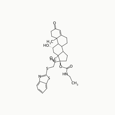 CCNC(=O)O[C@]1(C(=O)CSc2nc3ccccc3s2)CCC2C3CCC4=CC(=O)CCC4(C)C3[C@@H](O)CC21C